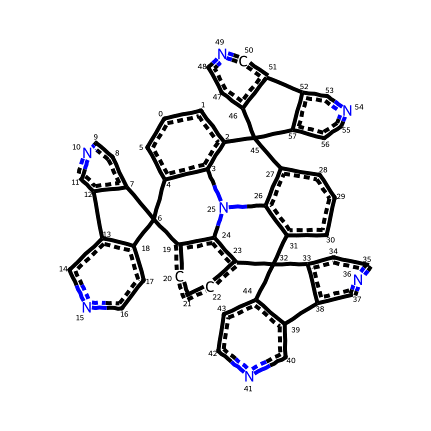 c1cc2c3c(c1)C1(c4ccncc4-c4cnccc41)c1cccc4c1N3c1c(cccc1C41c3ccncc3-c3cnccc31)C21c2ccncc2-c2cnccc21